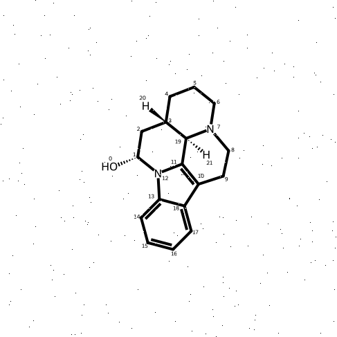 O[C@@H]1C[C@@H]2CCCN3CCc4c(n1c1ccccc41)[C@@H]23